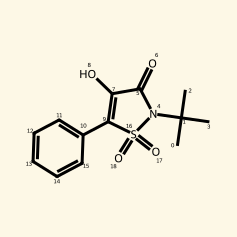 CC(C)(C)N1C(=O)C(O)=C(c2ccccc2)S1(=O)=O